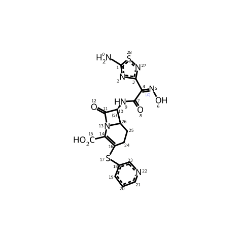 Nc1nc(/C(=N/O)C(=O)N[C@@H]2C(=O)N3C(C(=O)O)=C(Sc4cccnc4)CCC23)ns1